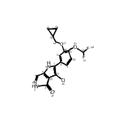 O=c1[nH]ncc2[nH]c(-c3ccc(OC(F)F)c(OCC4CC4)c3)c(Cl)c12